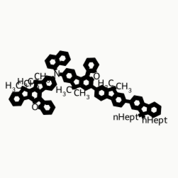 CCCCCCCC1(CCCCCCC)c2ccccc2-c2ccc(-c3ccc4c(c3)C(C)(C)c3cc(-c5cc6c(c7c5oc5ccccc57)-c5ccc(N(c7ccc8c(c7)C(C)(C)c7c9c(c%10oc%11ccccc%11c%10c7-8)-c7ccccc7C9(C)C)c7cccc8ccccc78)cc5C6(C)C)ccc3-4)cc21